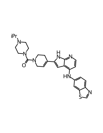 CC(C)N1CCN(C(=O)N2CC=C(c3cc4c(Nc5ccc6ncsc6c5)ccnc4[nH]3)CC2)CC1